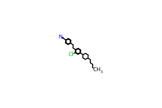 CCCCCC1CCC(c2ccc(CCc3ccc(C#N)cc3)c(Cl)c2)CC1